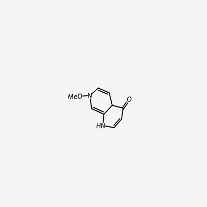 CON1C=CC2C(=O)C=CNC2=C1